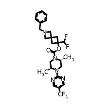 C[C@@H]1CN(c2ncc(C(F)(F)F)cn2)[C@@H](C)CN1C(=O)OC1(C(F)F)CC2(CN(Cc3ccccc3)C2)C1